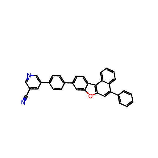 N#Cc1cncc(-c2ccc(-c3ccc4c(c3)oc3cc(-c5ccccc5)c5ccccc5c34)cc2)c1